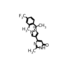 Cc1nc(-c2cnn([C@H](C)c3ccc(C(F)(F)F)cc3C)c2)cc(=O)[nH]1